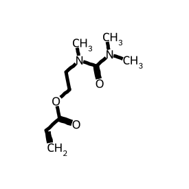 C=CC(=O)OCCN(C)C(=O)N(C)C